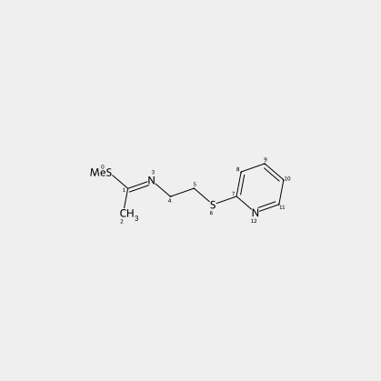 CSC(C)=NCCSc1ccccn1